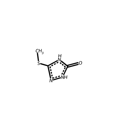 CSc1n[nH]c(=O)[nH]1